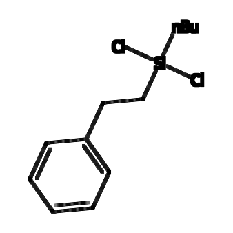 CCCC[Si](Cl)(Cl)CCc1ccccc1